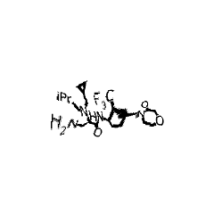 CC(C)CN(CC1CC1)[C@H](CN)C(=O)Nc1ccc(N2CCOCC2=O)cc1C(F)(F)F